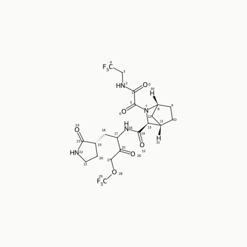 O=C(NCC(F)(F)F)C(=O)N1[C@@H]2CC[C@@H](C2)[C@H]1C(=O)NC(C[C@@H]1CCNC1=O)C(=O)COC(F)(F)F